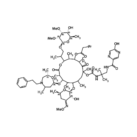 CON=C1C[C@@H](C)O[C@@H](OC2C(C)CC(C)(OC(=O)NC(C)(C)CNC(=O)c3cnc(O)cn3)C(=O)C(C)C(OC(=O)CC(C)C)C(C)C(C(C)CO[C@@H]3O[C@H](C)[C@@H](O)[C@@H](OC)[C@H]3OC)OC(=O)C(C)C(O[C@H]3CC(C)N(CCc4ccccc4)C[C@H](C)O3)C2C)[C@@H]1O